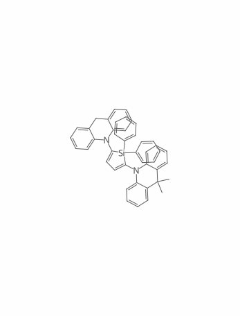 CC1(C)c2ccccc2N(C2=CC=C(N3c4ccccc4Cc4ccccc43)[Si]2(c2ccccc2)c2ccccc2)c2ccccc21